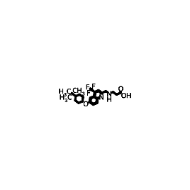 CC(C)(C)C1CCC(Oc2ccc3nc(CNCCC(=O)O)cc(C(F)(F)F)c3c2)CC1